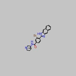 O=C(NC1CN2CCC1CC2)c1ccc(-c2nc3cc4ccccc4cc3[nH]2)c(Br)c1